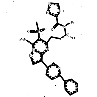 CCCN(C(=O)c1nnc[nH]1)[C@H](CC)CCc1nc2c(-c3ccc(-c4ccccc4)nc3)cnn2c(NC)c1S(C)(=O)=O